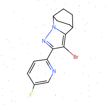 Fc1ccc(-c2nn3c(c2Br)C2CCC3CC2)nc1